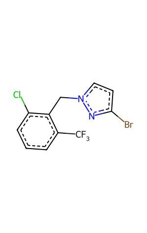 FC(F)(F)c1cccc(Cl)c1Cn1ccc(Br)n1